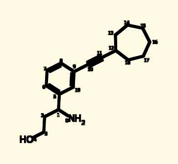 NC(CCO)c1cccc(C#CC2CCCCCC2)c1